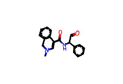 CN1C=C(C(=O)NC(C=O)c2ccccc2)c2ccccc2C1